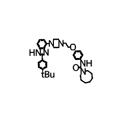 CC(C)(C)c1ccc(-c2nc3c(N4CCN(CCOc5ccc(NC(=O)N6CCCCCCC6)cc5)CC4)cccc3[nH]2)cc1